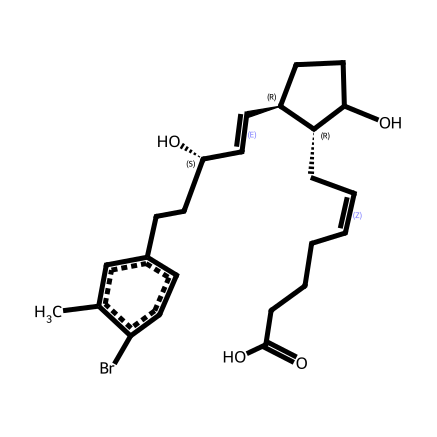 Cc1cc(CC[C@H](O)/C=C/[C@H]2CCC(O)[C@@H]2C/C=C\CCCC(=O)O)ccc1Br